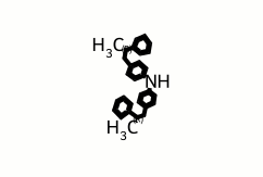 C[C@H](Cc1ccc(Nc2ccc(C[C@@H](C)c3ccccc3)cc2)cc1)c1ccccc1